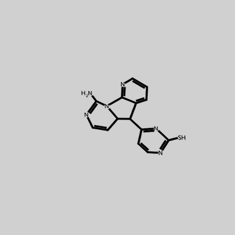 NC1=NC=CC2C(c3ccnc(S)n3)c3cccnc3N12